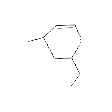 CCC1CC(C)C=CO1